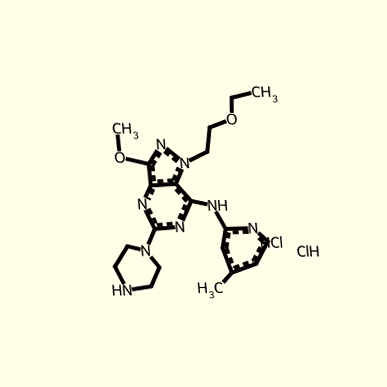 CCOCCn1nc(OC)c2nc(N3CCNCC3)nc(Nc3cc(C)ccn3)c21.Cl.Cl